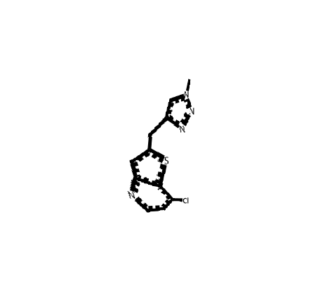 Cn1cc(Cc2cc3nccc(Cl)c3s2)nn1